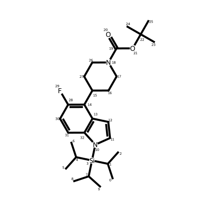 CC(C)[Si](C(C)C)(C(C)C)n1ccc2c(C3CCN(C(=O)OC(C)(C)C)CC3)c(F)ccc21